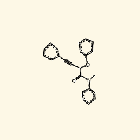 CN(C(=O)C(C#Cc1ccccc1)Oc1ccccc1)c1ccccc1